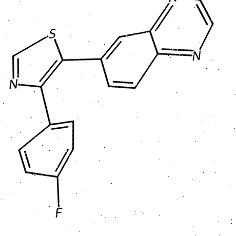 Fc1ccc(-c2ncsc2-c2ccc3nccnc3c2)cc1